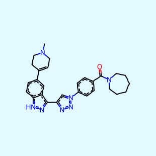 CN1CC=C(c2ccc3[nH]nc(-c4cn(-c5ccc(C(=O)N6CCCCCC6)cc5)nn4)c3c2)CC1